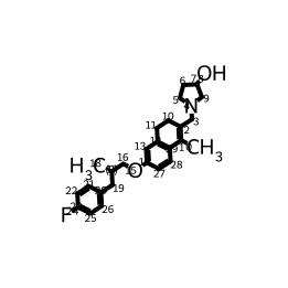 CC1=C(CN2CCC(O)C2)CCc2cc(OC[C@H](C)Cc3ccc(F)cc3)ccc21